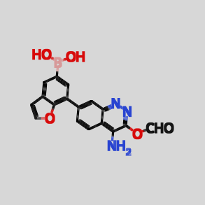 Nc1c(OC=O)nnc2cc(-c3cc(B(O)O)cc4ccoc34)ccc12